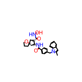 Cc1cc2ccccc2n1Cc1ccc(C(=O)N[C@@H]2C[C@@]3(CCCO3)C[C@@H]2C(=O)NO)cc1